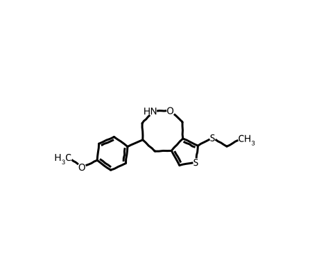 CCSc1scc2c1CONCC(c1ccc(OC)cc1)C2